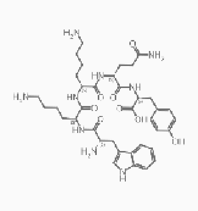 NCCCC[C@H](NC(=O)[C@H](CCCCN)NC(=O)[C@@H](N)Cc1c[nH]c2ccccc12)C(=O)N[C@@H](CCC(N)=O)C(=O)N[C@@H](Cc1ccc(O)cc1)C(=O)O